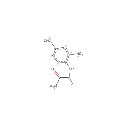 CNC(=O)C(C)Oc1ccc(C=O)cc1[N+](=O)[O-]